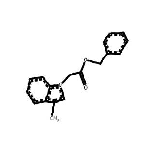 Cc1cn(CC(=O)OCc2ccccc2)c2ccccc12